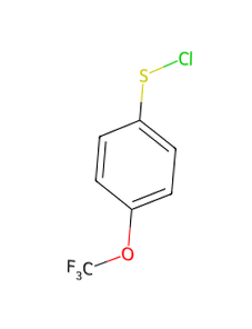 FC(F)(F)Oc1ccc(SCl)cc1